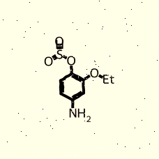 CCOc1cc(N)ccc1O[SH](=O)=O